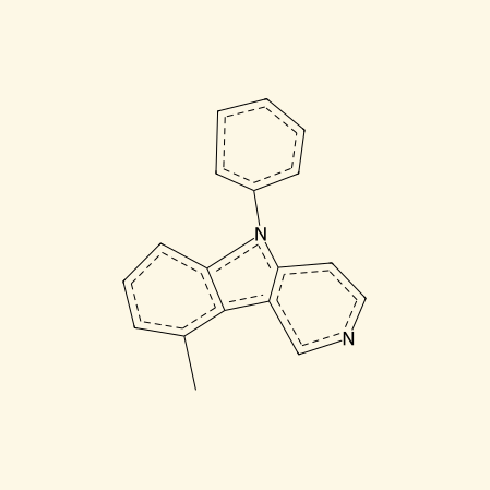 Cc1cccc2c1c1cnccc1n2-c1ccccc1